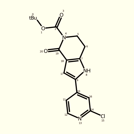 CC(C)(C)OC(=O)N1CCc2[nH]c(-c3ccnc(Cl)c3)cc2C1=O